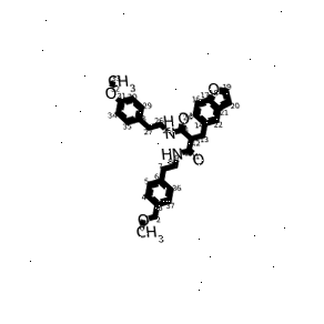 COCc1ccc(CCNC(=O)C(Cc2ccc3occc3c2)C(=O)NCCc2ccc(OC)cc2)cc1